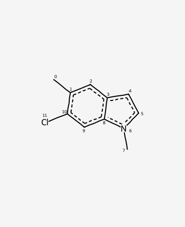 Cc1cc2ccn(C)c2cc1Cl